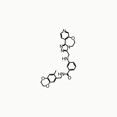 Cc1cc2c(cc1CNC(=O)c1cccc(NCc3nnc4n3CCOc3cnccc3-4)c1)OCCO2